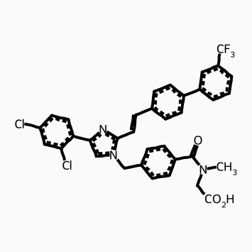 CN(CC(=O)O)C(=O)c1ccc(Cn2cc(-c3ccc(Cl)cc3Cl)nc2/C=C/c2ccc(-c3cccc(C(F)(F)F)c3)cc2)cc1